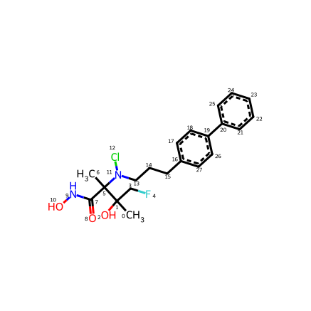 CC(O)(CF)C(C)(C(=O)NO)N(Cl)CCCc1ccc(-c2ccccc2)cc1